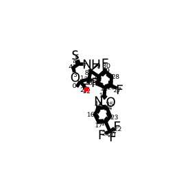 CC1(C)OCC(=S)N[C@](C)(c2cc(-c3nc4ccc(C(F)(F)F)cc4o3)c(F)cc2F)C1(F)F